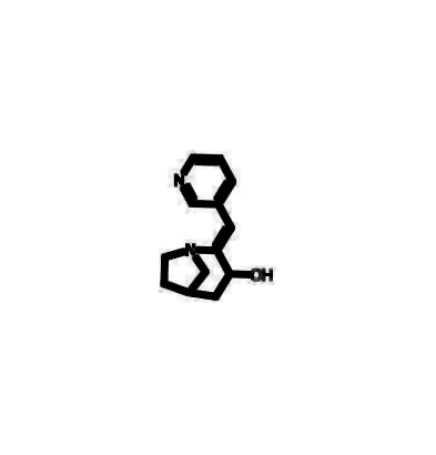 OC1CC2CCN(C2)/C1=C\c1cccnc1